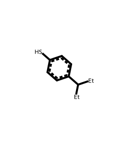 CCC(CC)c1ccc(S)cc1